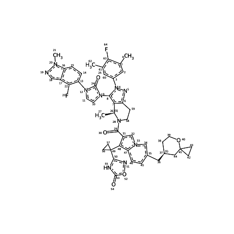 Cc1cc(-n2nc3c(c2-n2ccn(-c4ccc5c(cnn5C)c4F)c2=O)[C@H](C)N(C(=O)c2cn4cc(C[C@H]5CCOC6(CC6)C5)ccc4c2C2(c4noc(=O)[nH]4)CC2)CC3)cc(C)c1F